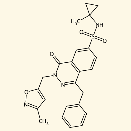 Cc1cc(Cn2nc(Cc3ccccc3)c3ccc(S(=O)(=O)NC4(C)CC4)cc3c2=O)on1